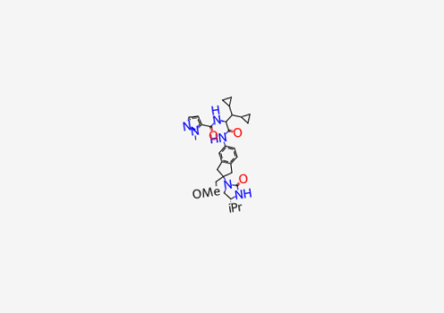 COCC1(N2C[C@@H](C(C)C)NC2=O)Cc2ccc(NC(=O)[C@@H](NC(=O)c3ccnn3C)C(C3CC3)C3CC3)cc2C1